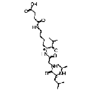 CC(C)C[C@H](NC(C)C)C(=O)NCC(=O)N[C@@H](CCCCNC(=O)CCC(=O)O)C(=O)C(C)C